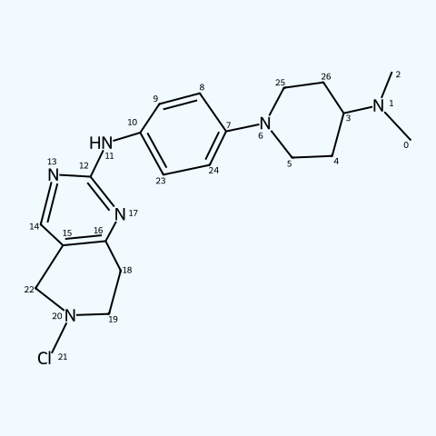 CN(C)C1CCN(c2ccc(Nc3ncc4c(n3)CCN(Cl)C4)cc2)CC1